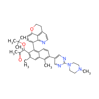 CC(=O)C(OC(C)(C)C)c1c(C)cc2c(C)c(-c3cnc(N4CCN(C)CC4)nc3)ccc2c1-c1ccc2c3c(ccnc13)CCO2